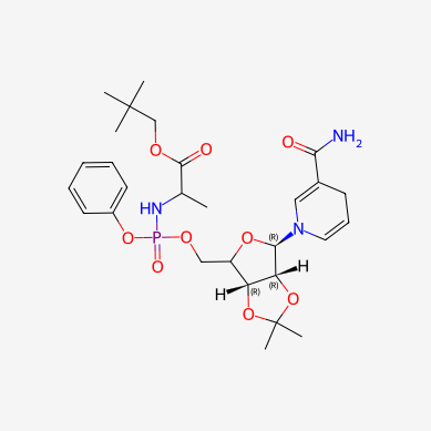 CC(NP(=O)(OCC1O[C@@H](N2C=CCC(C(N)=O)=C2)[C@@H]2OC(C)(C)O[C@H]12)Oc1ccccc1)C(=O)OCC(C)(C)C